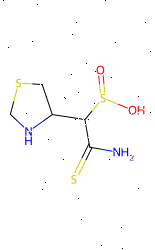 NC(=S)[C](C1CSCN1)S(=O)O